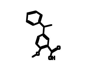 COc1ccc(C(C)c2ccccc2)cc1C(=O)O